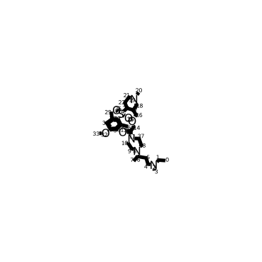 CCN(C)CCC(C)N1CCN(C(=O)COCC2CN(C)CCC2S(=O)(=O)c2c(C)cc(OC)cc2C)CC1